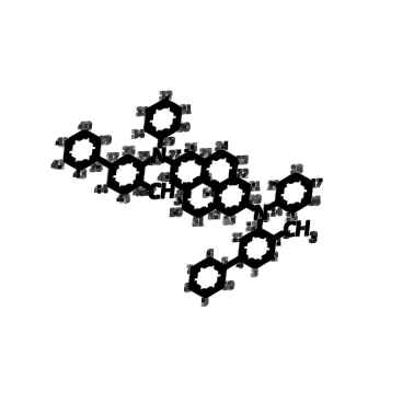 Cc1ccc(-c2ccccc2)cc1N(c1ccccc1)c1cc2ccc3cc(N(c4ccccc4)c4cc(-c5ccccc5)ccc4C)cc4ccc(c1)c2c34